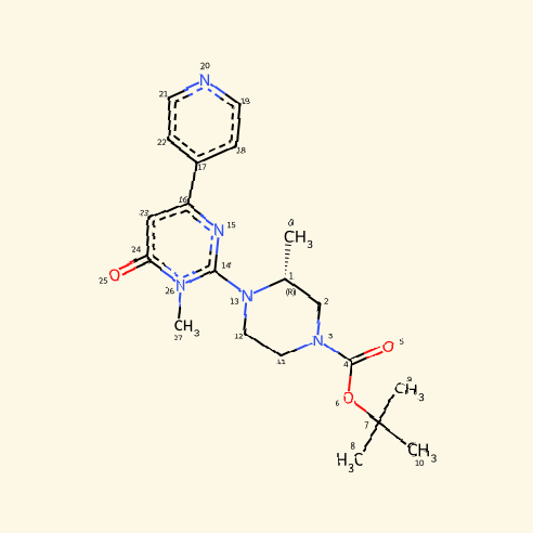 C[C@@H]1CN(C(=O)OC(C)(C)C)CCN1c1nc(-c2ccncc2)cc(=O)n1C